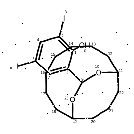 Oc1c(I)cc(I)cc1C1OC2CCCCCCCC(CCC2)O1